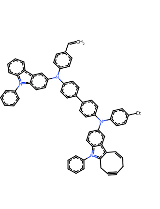 C=Cc1ccc(N(c2ccc(-c3ccc(N(c4ccc(CC)cc4)c4ccc5c(c4)c4c(n5-c5ccccc5)CC#CC/C=C\4)cc3)cc2)c2ccc3c(c2)c2ccccc2n3-c2ccccc2)cc1